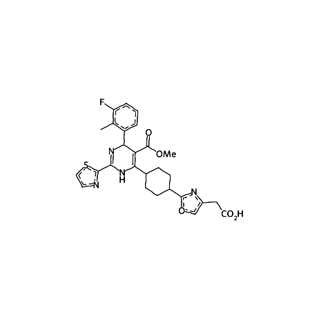 COC(=O)C1=C(C2CCC(c3nc(CC(=O)O)co3)CC2)NC(c2nccs2)=NC1c1cccc(F)c1C